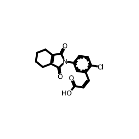 O=C(O)/C=C\c1cc(N2C(=O)C3=C(CCCC3)C2=O)ccc1Cl